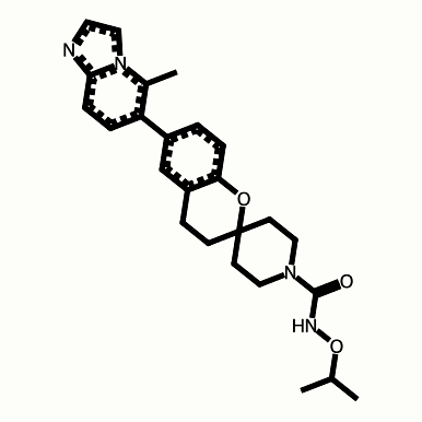 Cc1c(-c2ccc3c(c2)CCC2(CCN(C(=O)NOC(C)C)CC2)O3)ccc2nccn12